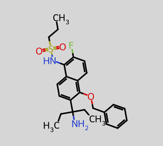 CCCS(=O)(=O)Nc1c(F)ccc2c(OCc3ccccc3)c(C(N)(CC)CC)ccc12